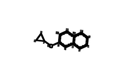 c1ccc2cc(OC3CC3)ccc2c1